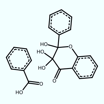 O=C(O)c1ccccc1.O=C1c2ccccc2OC(O)(c2ccccc2)C1(O)O